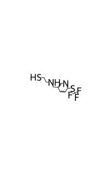 FC(F)(F)Sc1ccc(CNCCS)cn1